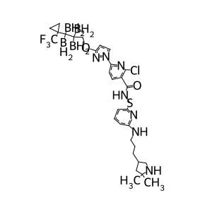 BC(B)(COc1ccn(-c2ccc(C(=O)NSc3cccc(NCCCC4CNC(C)(C)C4)n3)c(Cl)n2)n1)C(B)(B)C1(C(F)(F)F)CC1